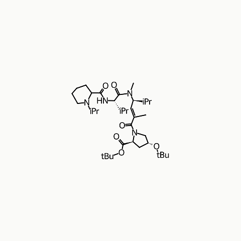 C/C(=C\[C@H](C(C)C)N(C)C(=O)[C@@H](NC(=O)C1CCCCN1C(C)C)C(C)C)C(=O)N1C[C@H](OC(C)(C)C)C[C@H]1C(=O)OC(C)(C)C